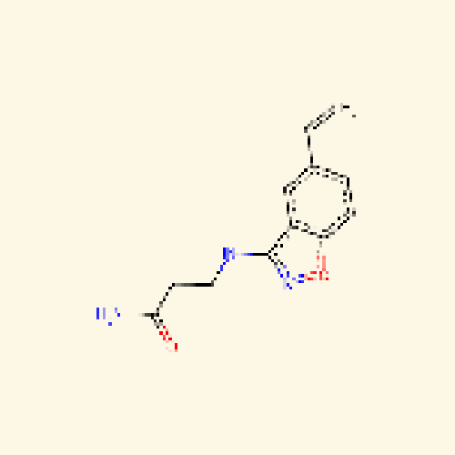 C=Cc1ccc2onc(NCCC(N)=O)c2c1